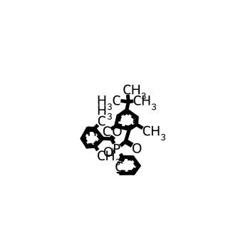 Cc1cccc(C)c1C(=O)P(=O)(C(=O)c1c(C)cc(C(C)(C)C)cc1C)c1ccccc1